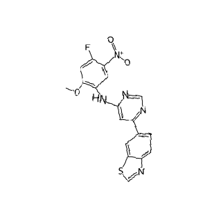 COc1cc(F)c([N+](=O)[O-])cc1Nc1cc(-c2ccc3ncsc3c2)ncn1